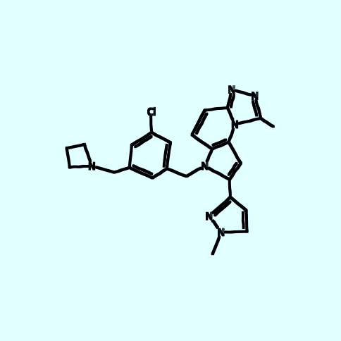 Cc1nnc2ccc3c(cc(-c4ccn(C)n4)n3Cc3cc(Cl)cc(CN4CCC4)c3)n12